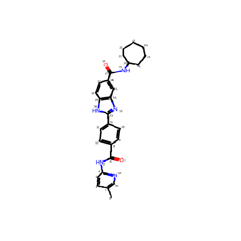 Cc1ccc(NC(=O)c2ccc(-c3nc4cc(C(=O)NC5CCCCCC5)ccc4[nH]3)cc2)nc1